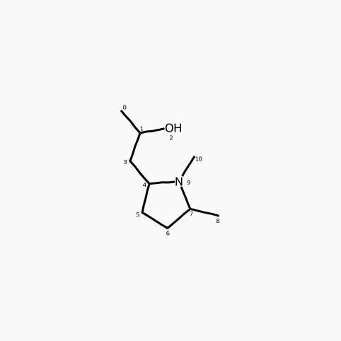 CC(O)CC1CCC(C)N1C